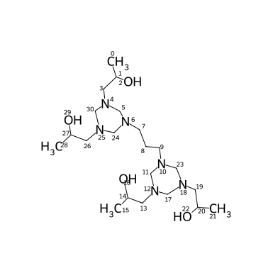 CC(O)CN1CN(CCCN2CN(CC(C)O)CN(CC(C)O)C2)CN(CC(C)O)C1